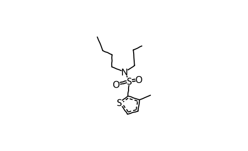 CCCCN(CCC)S(=O)(=O)c1sccc1C